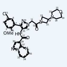 COc1ccc(Cl)cc1-c1nn(CC(=O)N2CC(N3CCOCC3)C2)cc1NC(=O)c1cnn2cccnc12